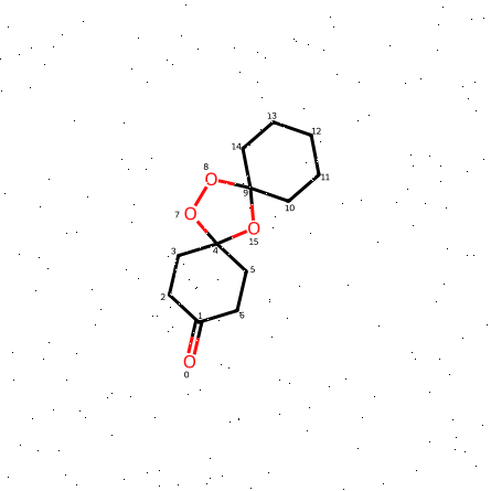 O=C1CCC2(CC1)OOC1(CCCCC1)O2